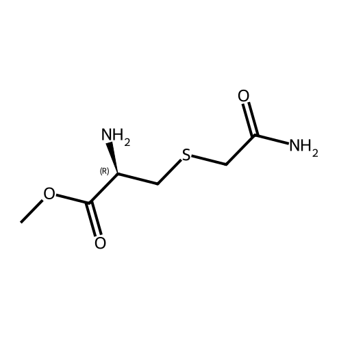 COC(=O)[C@@H](N)CSCC(N)=O